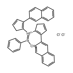 C[Si](c1ccccc1)=[Hf+2]([C]1=C(c2ccc3ccccc3c2)C=CC1)[C]1=C(c2ccc3ccccc3c2)C=CC1.[Cl-].[Cl-]